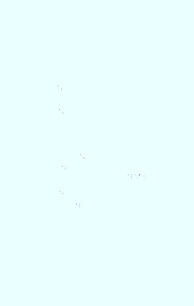 CNS(=O)(=O)c1cccc(Nc2cc(Nc3ccc(-n4ccnc4C)cc3)ncn2)c1